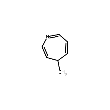 CC1C=CC=NC=C1